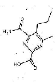 CCCc1c(C)nc(C(=O)O)nc1C(N)=O